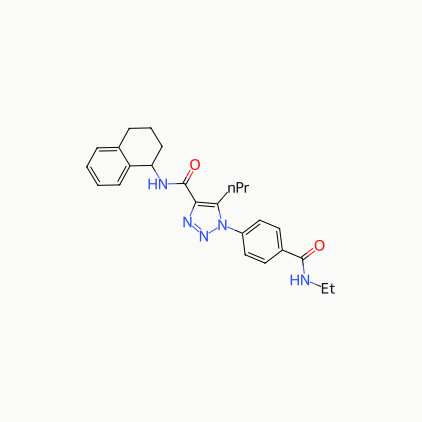 CCCc1c(C(=O)NC2CCCc3ccccc32)nnn1-c1ccc(C(=O)NCC)cc1